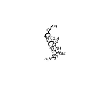 CCON=C(C(=O)NC1C(=O)N2C(C(=O)O)=C(C[n+]3ccc(OCCO)cc3)CS[C@@H]12)c1nsc(N)n1